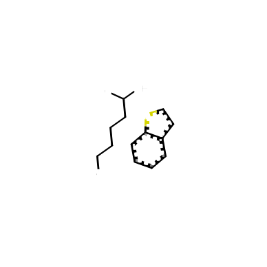 CCCCCC(C)C.c1ccc2sccc2c1